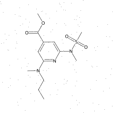 CCCN(C)c1cc(C(=O)OC)cc(N(C)S(C)(=O)=O)n1